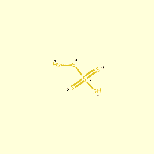 S=S(=S)(S)SS